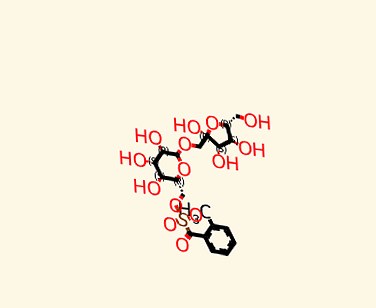 Cc1ccccc1C(=O)S(=O)(=O)OC[C@H]1OC(OC[C@@]2(O)O[C@H](CO)[C@@H](O)[C@@H]2O)[C@H](O)[C@@H](O)[C@@H]1O